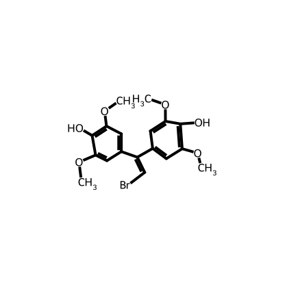 COc1cc(C(=CBr)c2cc(OC)c(O)c(OC)c2)cc(OC)c1O